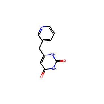 O=c1cc(Cc2cccnc2)[nH]c(=O)[nH]1